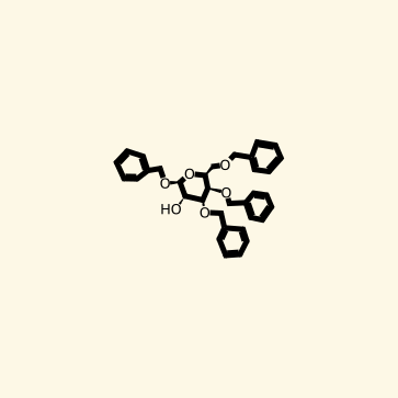 O[C@@H]1[C@@H](OCc2ccccc2)O[C@@H](COCc2ccccc2)[C@@H](OCc2ccccc2)[C@@H]1OCc1ccccc1